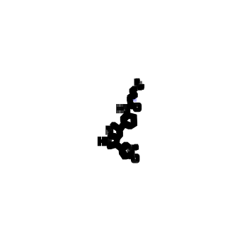 CN(C)C/C=C/C(=O)Nc1cccc(-c2cnc3[nH]cc(-c4ccc(=O)n(C)c4)c3c2)c1